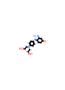 NC1=CC(=O)C=CC1=Nc1ccc(N(CCO)CCO)cc1